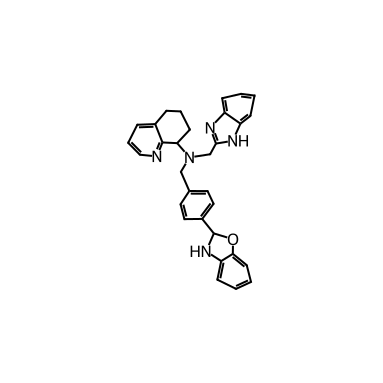 c1cnc2c(c1)CCCC2N(Cc1ccc(C2Nc3ccccc3O2)cc1)Cc1nc2ccccc2[nH]1